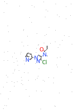 C=CC(=O)N(C)c1cn(-c2cccnc2)nc1Cl